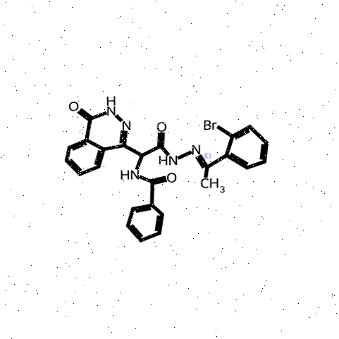 C/C(=N\NC(=O)C(NC(=O)c1ccccc1)c1n[nH]c(=O)c2ccccc12)c1ccccc1Br